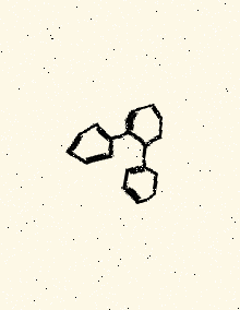 C1=CCC(c2ccccc2)C(c2ccccc2)=C1